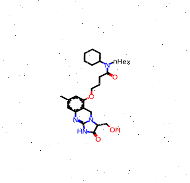 CCCCCCN(C(=O)CCCOc1cc(C)cc2c1CN1C(=N2)NC(=O)C1CO)C1CCCCC1